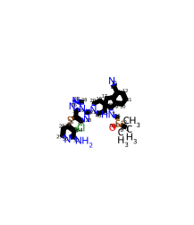 CC(C)(C)[S+]([O-])CNC1c2cccc(C#N)c2CC12CCN(c1ncc(Sc3ccnc(N)c3Cl)c3nncn13)CC2